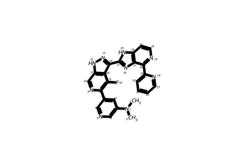 CN(C)c1cncc(-c2ncc3[nH]nc(-c4nc5c(-c6ccccn6)nccc5[nH]4)c3c2F)c1